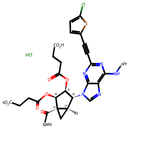 CCCNc1nc(C#Cc2ccc(Cl)s2)nc2c1ncn2[C@H]1[C@H](OC(=O)CCC(=O)O)[C@H](OC(=O)CCC(=O)O)[C@]2(C(=O)NC)C[C@H]12.Cl